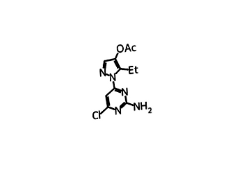 CCc1c(OC(C)=O)cnn1-c1cc(Cl)nc(N)n1